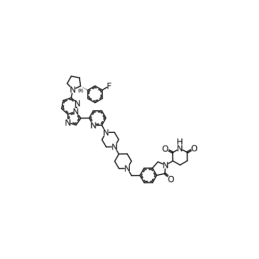 O=C1CCC(N2Cc3cc(CN4CCC(N5CCN(c6cccc(-c7cnc8ccc(N9CCC[C@@H]9c9cccc(F)c9)nn78)n6)CC5)CC4)ccc3C2=O)C(=O)N1